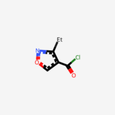 CCc1nocc1C(=O)Cl